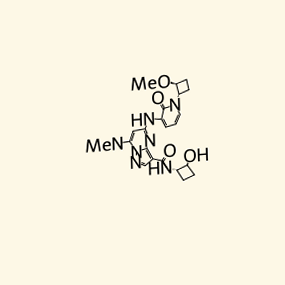 CNc1cc(Nc2cccn([C@H]3CC[C@@H]3OC)c2=O)nc2c(C(=O)N[C@H]3CC[C@@H]3O)cnn12